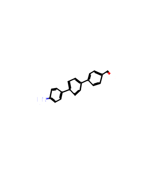 Nc1ccc(-c2ccc(-c3ccc(C=O)cc3)cc2)cc1